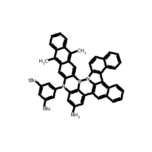 Cc1c2ccccc2c(C)c2cc3c(cc12)B1c2c(cc(N)cc2N3c2cc(C(C)(C)C)cc(C(C)(C)C)c2)-c2cc3ccccc3c3c4c5ccccc5ccc4n1c23